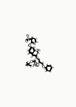 CC(C)(C)OC(=O)N(C[C@H](O)COc1ccccc1)[C@H](CO)Cc1ccc(Oc2ncccc2[N+](=O)[O-])cc1